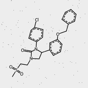 CS(=O)(=O)CCN1CC(c2cccc(OCc3ccccc3)c2)N(c2ccc(Cl)cc2)C1=O